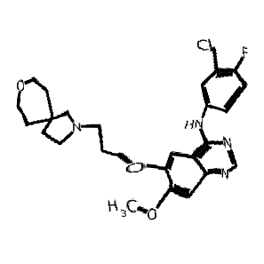 COc1cc2ncnc(Nc3ccc(F)c(Cl)c3)c2cc1OCCCN1CCC2(CCOCC2)C1